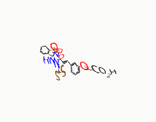 O=C(O)COc1cccc(C=C2SC(=S)N(NC3=NS(=O)(=O)c4ccccc43)C2=O)c1